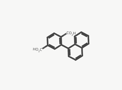 O=C(O)c1ccc(C(=O)O)c(-c2cccc3ccccc23)c1